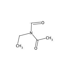 CCN([C]=O)C(C)=O